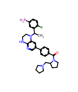 CC(c1cc(P)ccc1F)N1CCNc2ncc(-c3ccc(C(=O)N4CCCC4CN4CCCC4)cc3)cc21